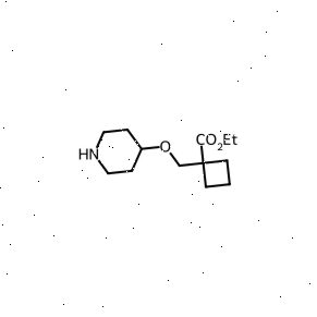 CCOC(=O)C1(COC2CCNCC2)CCC1